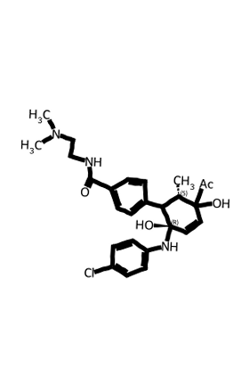 CC(=O)C1(O)C=C[C@](O)(Nc2ccc(Cl)cc2)C(c2ccc(C(=O)NCCN(C)C)cc2)[C@@H]1C